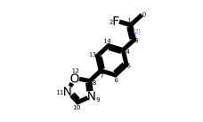 C/C(F)=C/c1ccc(-c2ncno2)cc1